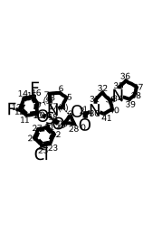 O=C(OC1([C@H]2CCC[C@@H](c3ccc(F)cc3F)N2S(=O)(=O)c2ccc(Cl)cc2)CC1)N1CCC(N2CCCCC2)CC1